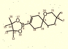 CC1(C)CCC2(CC=C(B3OC(C)(C)C(C)(C)O3)CC2)OC1